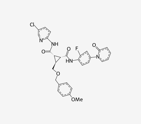 COc1ccc(COC[C@@H]2[C@@H](C(=O)Nc3ccc(-n4ccccc4=O)cc3F)[C@H]2C(=O)Nc2ccc(Cl)cn2)cc1